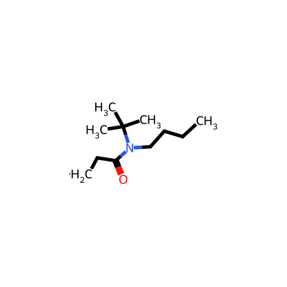 [CH2]CC(=O)N(CCCC)C(C)(C)C